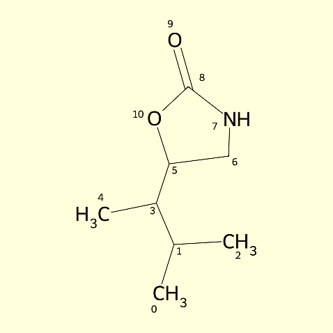 CC(C)C(C)C1CNC(=O)O1